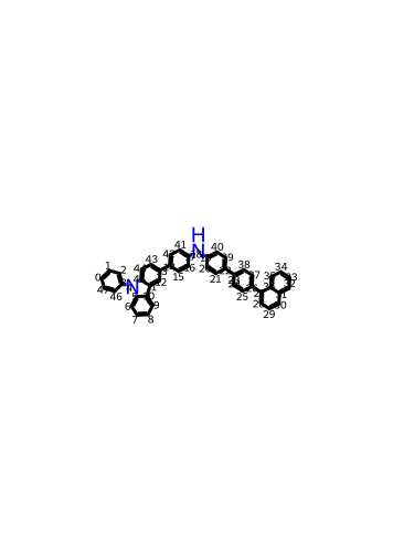 c1ccc(-n2c3ccccc3c3cc(-c4ccc(Nc5ccc(-c6ccc(-c7cccc8ccccc78)cc6)cc5)cc4)ccc32)cc1